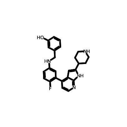 Oc1cccc(CNc2ccc(F)c(-c3ccnc4[nH]c(C5CCNCC5)cc34)c2)c1